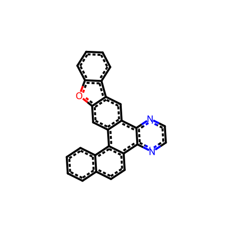 c1ccc2c(c1)ccc1c3nccnc3c3cc4c(cc3c21)oc1ccccc14